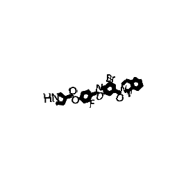 C[C@@H]1c2ccccc2CCN1C(=O)c1cc(Br)c2nc(-c3ccc(OC(=O)C4CCNC4)cc3F)oc2c1